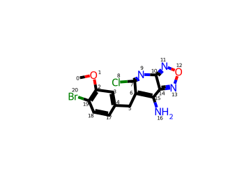 COc1cc(Cc2c(Cl)nc3nonc3c2N)ccc1Br